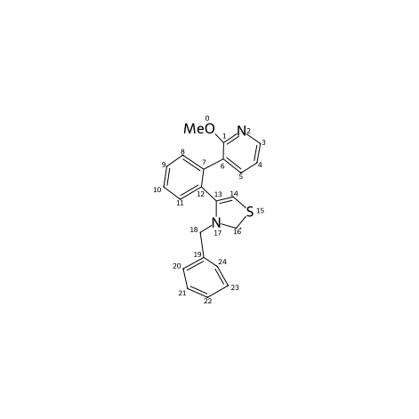 COc1ncccc1-c1ccccc1C1=CS[CH]N1Cc1ccccc1